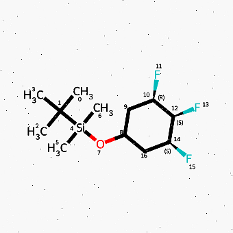 CC(C)(C)[Si](C)(C)OC1C[C@@H](F)[C@@H](F)[C@@H](F)C1